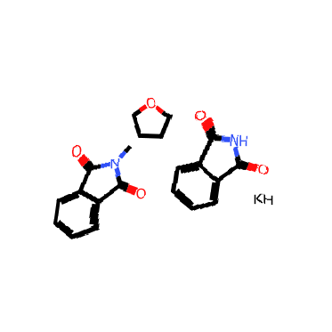 C1CCOC1.CN1C(=O)c2ccccc2C1=O.O=C1NC(=O)c2ccccc21.[KH]